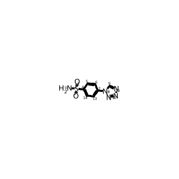 NS(=O)(=O)c1ccc(-n2[c]nnn2)cc1